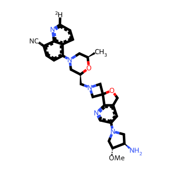 [2H]c1ccc2c(N3C[C@H](CN4CC5(C4)OCc4cc(N6C[C@@H](N)[C@H](OC)C6)cnc45)O[C@H](C)C3)ccc(C#N)c2n1